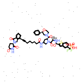 CC(C)(C)C(NC(=O)c1cc2cc(C(F)(F)P(=O)(O)O)ccc2s1)C(=O)N1C[C@@H](NC(=O)CCCCCC#Cc2cccc3c2CN(C2CCC(=O)NC2=O)C3=O)C[C@H]1C(=O)N1CCO[C@H](c2ccccc2)C1